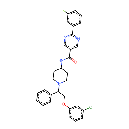 O=C(NC1CCN(C(COc2cccc(Cl)c2)c2ccccc2)CC1)c1cnc(-c2cccc(F)c2)nc1